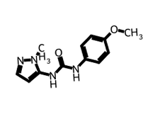 COc1ccc(NC(=O)Nc2ccnn2C)cc1